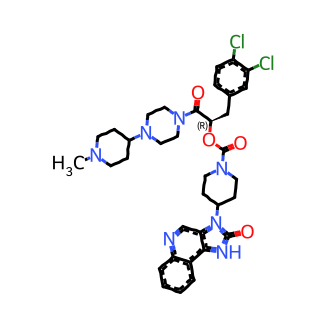 CN1CCC(N2CCN(C(=O)[C@@H](Cc3ccc(Cl)c(Cl)c3)OC(=O)N3CCC(n4c(=O)[nH]c5c6ccccc6ncc54)CC3)CC2)CC1